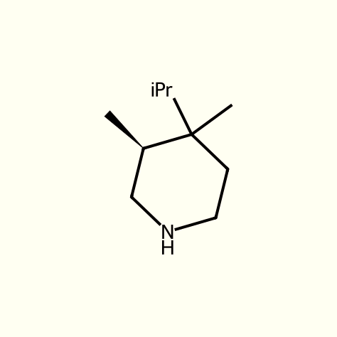 CC(C)C1(C)CCNC[C@H]1C